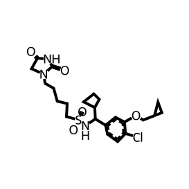 O=C1CN(CCCCCS(=O)(=O)NC(c2ccc(Cl)c(OCC3CC3)c2)C2CCC2)C(=O)N1